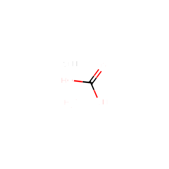 O.O=C(O)O.[SnH2]